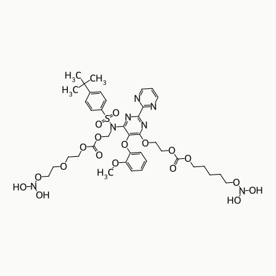 COc1ccccc1Oc1c(OCCOC(=O)OCCCCCON(O)O)nc(-c2ncccn2)nc1N(COC(=O)OCCOCCON(O)O)S(=O)(=O)c1ccc(C(C)(C)C)cc1